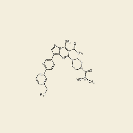 CCc1cccc(-c2ccc(-c3cnn4c(N)c(C(C)=O)c(C5CCN(C(=O)[C@@H](C)O)CC5)nc34)cn2)c1